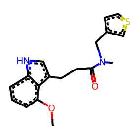 COc1cccc2[nH]cc(CCC(=O)N(C)Cc3ccsc3)c12